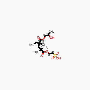 CCC(C)(CC(C)(C)C(=O)OCCS(=O)(=O)O)C(=O)OCC(C)O